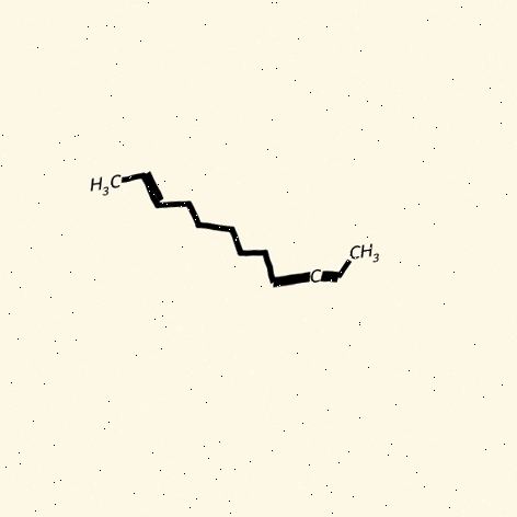 CC=C=CCCCCCC=CC